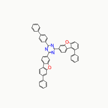 c1ccc(-c2ccc(-c3nc(-c4ccc5c(c4)oc4cc(-c6ccccc6)ccc45)nc(-c4ccc5c(c4)oc4cccc(-c6ccccc6)c45)n3)cc2)cc1